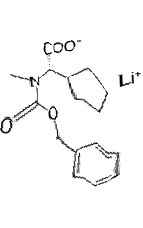 CN(C(=O)OCc1ccccc1)[C@H](C(=O)[O-])C1CCCC1.[Li+]